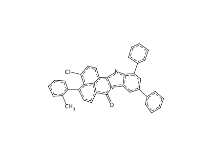 Cc1ccccc1-c1ccc2c(=O)n3c4cc(-c5ccccc5)cc(-c5ccccc5)c4nc3c3ccc(Cl)c1c23